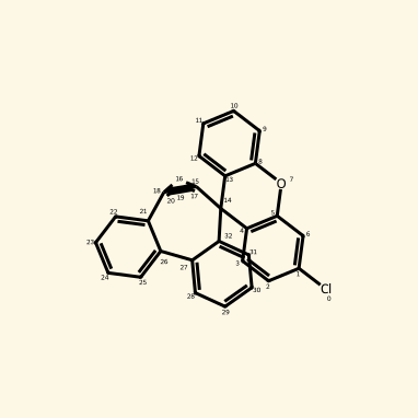 Clc1ccc2c(c1)Oc1ccccc1C21c2ccccc2-c2ccccc2-c2ccccc21